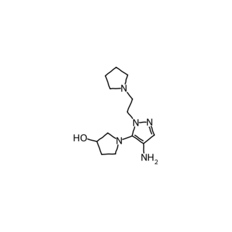 Nc1cnn(CCN2CCCC2)c1N1CCC(O)C1